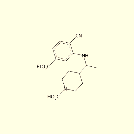 CCOC(=O)c1ccc(C#N)c(NC(C)C2CCN(C(=O)O)CC2)c1